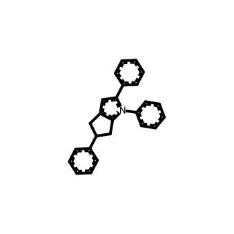 c1ccc(-c2cc3c(n2-c2ccccc2)CC(c2ccccc2)C3)cc1